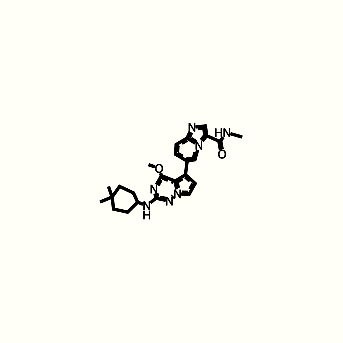 CNC(=O)c1cnc2ccc(-c3ccn4nc(NC5CCC(C)(C)CC5)nc(OC)c34)cn12